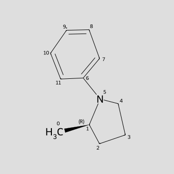 C[C@@H]1CCCN1c1cc[c]cc1